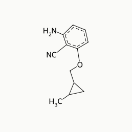 CC1CC1COc1cccc(N)c1C#N